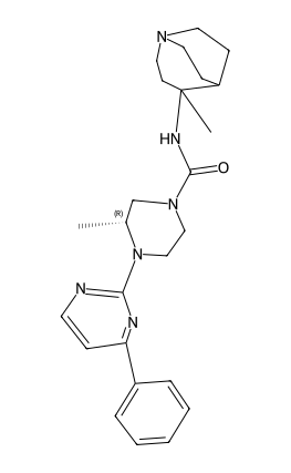 C[C@@H]1CN(C(=O)NC2(C)CCN3CCC2CC3)CCN1c1nccc(-c2ccccc2)n1